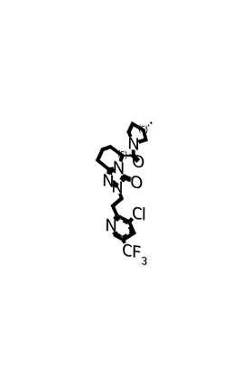 C[C@H]1CCN(C(=O)[C@@H]2CCCc3nn(CCc4ncc(C(F)(F)F)cc4Cl)c(=O)n32)C1